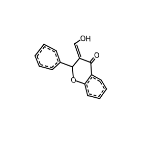 O=C1C(=CO)C(c2ccccc2)Oc2ccccc21